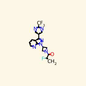 C=C(F)C(=O)N1CC(n2nc(-c3cnc(C(F)(F)F)nc3)c3cccnc32)C1